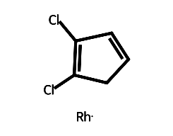 ClC1=C(Cl)CC=C1.[Rh]